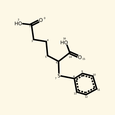 O=C(O)CCCC(Sc1ccccc1)C(=O)O